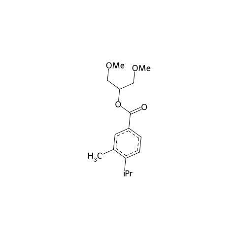 COCC(COC)OC(=O)c1ccc(C(C)C)c(C)c1